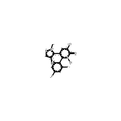 CCn1c(-c2c(F)cc(F)cc2F)c(-c2c(Br)cnn2C)cc(Cl)c1=O